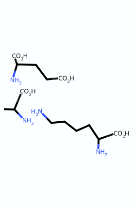 CC(N)C(=O)O.NC(CCC(=O)O)C(=O)O.NCCCCC(N)C(=O)O